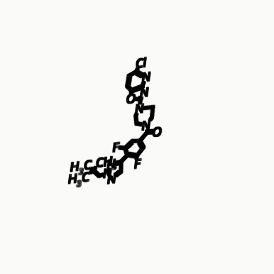 CC(C)(C)Cn1ncc(-c2c(F)cc(C(=O)N3CCN(c4nc5nc(Cl)ccc5o4)CC3)cc2F)n1